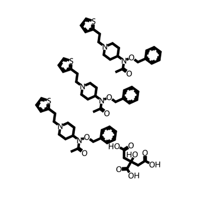 CC(=O)N(OCc1ccccc1)C1CCN(CCc2cccs2)CC1.CC(=O)N(OCc1ccccc1)C1CCN(CCc2cccs2)CC1.CC(=O)N(OCc1ccccc1)C1CCN(CCc2cccs2)CC1.O=C(O)CC(O)(CC(=O)O)C(=O)O